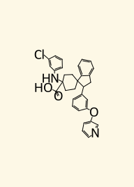 O=C(O)C1(Nc2cccc(Cl)c2)CCC2(CC1)c1ccccc1CC2c1cccc(Oc2cccnc2)c1